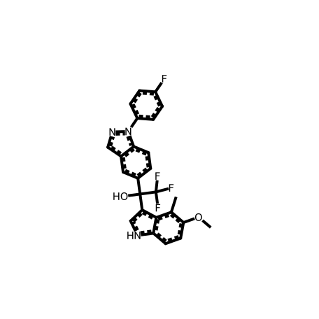 COc1ccc2[nH]cc(C(O)(c3ccc4c(cnn4-c4ccc(F)cc4)c3)C(F)(F)F)c2c1C